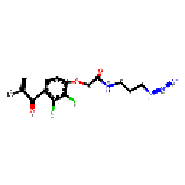 C=C(CC)C(=O)c1ccc(OCC(=O)NCCCN=[N+]=[N-])c(Cl)c1Cl